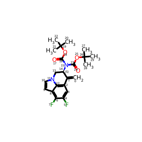 C=C1c2cc(F)c(F)c3ccn(c23)C[C@H]1N(C(=O)OC(C)(C)C)C(=O)OC(C)(C)C